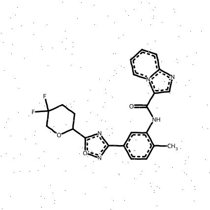 Cc1ccc(-c2noc(C3CCC(F)(F)CO3)n2)cc1NC(=O)c1cnc2ccccn12